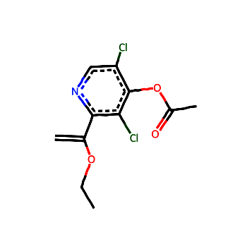 C=C(OCC)c1ncc(Cl)c(OC(C)=O)c1Cl